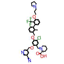 Cc1c(COc2cc(OCc3cncc(C#N)c3)c(CN3CCCC[C@H]3C(=O)O)cc2Cl)cccc1-c1cccc(OCCCN2CCCC2)c1C(F)(F)F